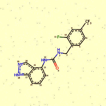 O=C(NCc1ccc(C(F)(F)F)cc1F)Nc1cccc2[nH]ncc12